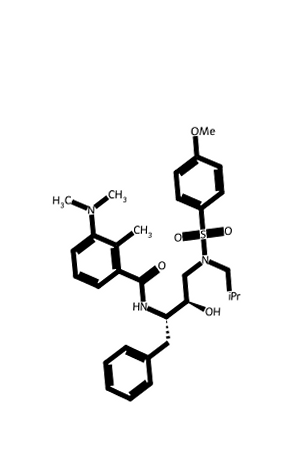 COc1ccc(S(=O)(=O)N(CC(C)C)C[C@@H](O)[C@H](Cc2ccccc2)NC(=O)c2cccc(N(C)C)c2C)cc1